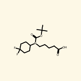 CC(C)(C)OC(=O)N(CCCCC(=O)O)C1CCC(F)(F)CC1